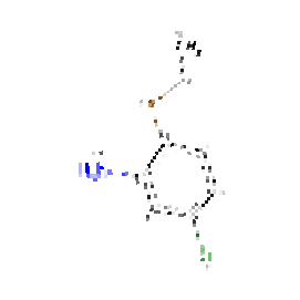 CCSc1ccc(Cl)cc1N